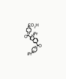 CC(C)N1CCN(C(=O)c2ccc3c(c2)cc(C(=O)N2CCN(C(=O)O)CC2)n3C(C)C)CC1